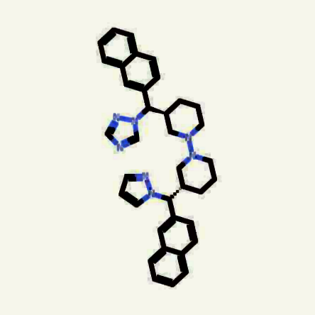 c1ccc2cc(C([C@H]3CCCN(N4CCC[C@H](C(c5ccc6ccccc6c5)n5cncn5)C4)C3)n3cccn3)ccc2c1